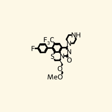 COCOC[C@H]1CSc2c(-c3ccc(F)cc3)c(C(F)(F)F)cc3c(N4CCNCC4)nc(=O)n1c23